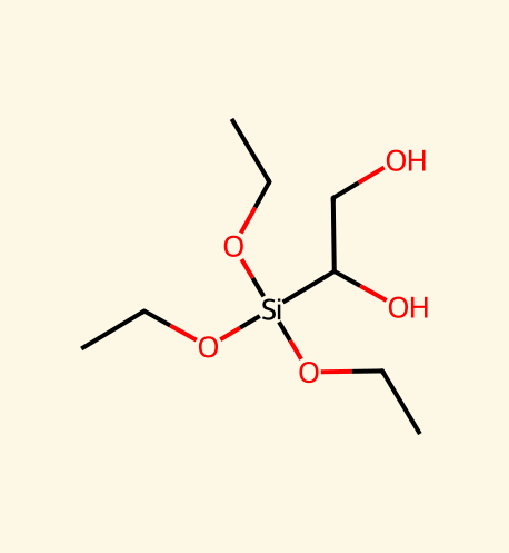 CCO[Si](OCC)(OCC)C(O)CO